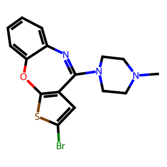 CN1CCN(C2=Nc3ccccc3Oc3sc(Br)cc32)CC1